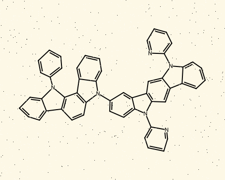 c1ccc(-n2c3ccccc3c3ccc4c(c5ccccc5n4-c4ccc5c(c4)c4cc6c(cc4n5-c4ccccn4)c4ccccc4n6-c4ccccn4)c32)cc1